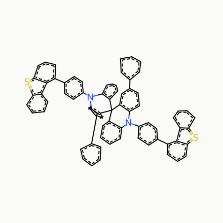 c1ccc(-c2ccc3c(c2)C2(c4ccccc4N3c3ccc(-c4cccc5sc6ccccc6c45)cc3)c3ccccc3N(c3ccc(-c4cccc5sc6ccccc6c45)cc3)c3ccc(-c4ccccc4)cc32)cc1